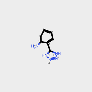 NC1CC=CC=C1C1NN=NN1